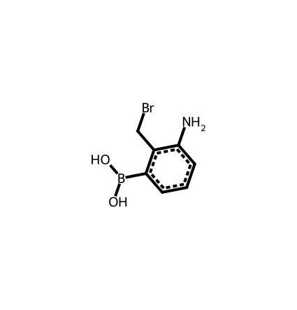 Nc1cccc(B(O)O)c1CBr